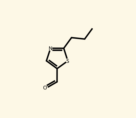 CCCc1ncc(C=O)s1